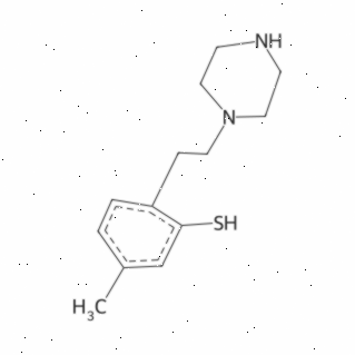 Cc1ccc(CCN2CCNCC2)c(S)c1